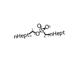 CCCCCCCCOS(=O)(=O)CCCCCCCC